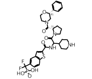 O=C(NC(C(=O)N1CCC[C@H]1C(=O)N1CCO[C@H](c2ccccc2)C1)C1CCNCC1)c1cc2cc(C(F)(F)P(=O)(O)O)ccc2s1